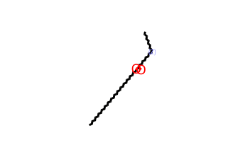 CCCCCCCC/C=C\CCCCCCCC(=O)OCCCCCCCCCCCCCCCCCCCCCCCCCCCCCC